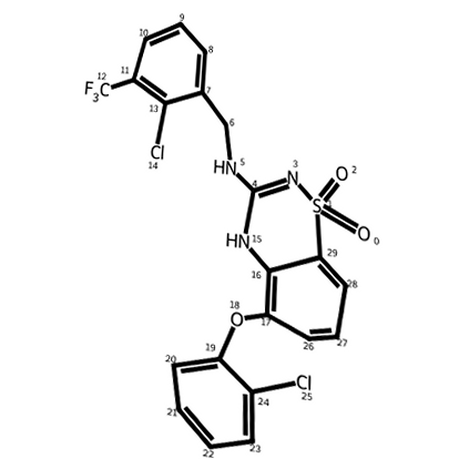 O=S1(=O)N=C(NCc2cccc(C(F)(F)F)c2Cl)Nc2c(Oc3ccccc3Cl)cccc21